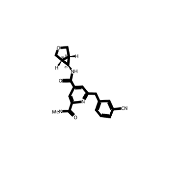 CNC(=O)c1cc(C(=O)N[C@H]2[C@@H]3COC[C@@H]32)cc(Cc2cccc(C#N)c2)n1